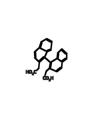 O=C(O)Cc1ccc2ccccc2c1-c1c(CC(=O)O)ccc2ccccc12